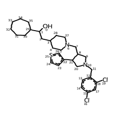 OC(CC1CCN(CC2CN(Cc3ccc(Cl)cc3Cl)CC2c2ccsc2)CC1)C1CCCCCC1